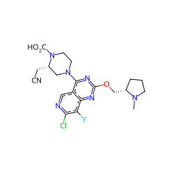 CN1CCC[C@H]1COc1nc(N2CCN(C(=O)O)[C@@H](CC#N)C2)c2cnc(Cl)c(F)c2n1